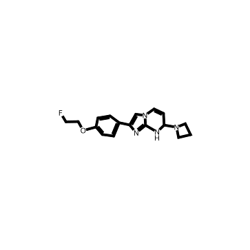 FCCOc1ccc(-c2cn3c(n2)NC(N2CCC2)C=C3)cc1